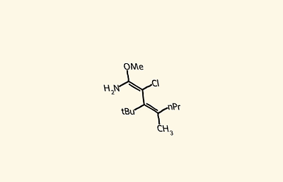 CCC/C(C)=C(\C(Cl)=C(/N)OC)C(C)(C)C